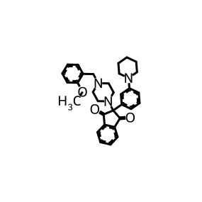 COc1ccccc1CN1CCN(C2(c3cccc(N4CCCCC4)c3)C(=O)c3ccccc3C2=O)CC1